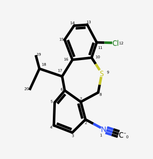 [C-]#[N+]c1cccc2c1CSc1c(Cl)cccc1C2C(C)C